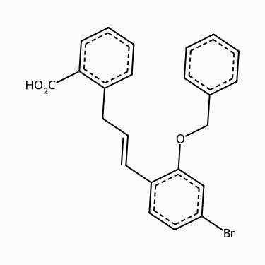 O=C(O)c1ccccc1CC=Cc1ccc(Br)cc1OCc1ccccc1